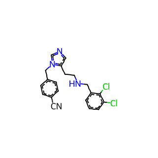 N#Cc1ccc(Cn2cncc2CCNCc2cccc(Cl)c2Cl)cc1